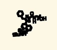 CC(C)(O)CNC(=O)c1nc(CC2CCCCC2)c(-c2ccc(S(=O)(=O)NC(C)(C)C)c3c(F)cccc23)s1